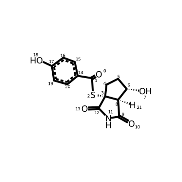 O=C(S[C@]12CC[C@H](O)[C@H]1C(=O)NC2=O)c1ccc(O)cc1